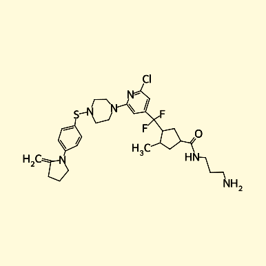 C=C1CCCN1c1ccc(SN2CCN(c3cc(C(F)(F)C4CC(C(=O)NCCCN)CC4C)cc(Cl)n3)CC2)cc1